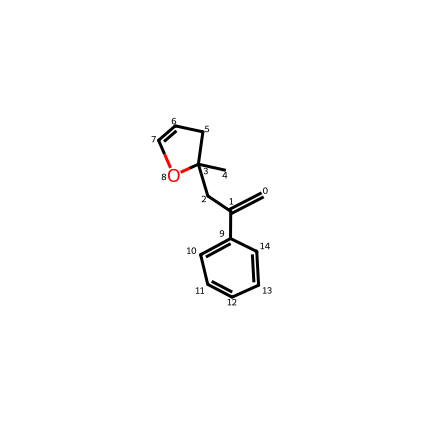 C=C(CC1(C)CC=CO1)c1ccccc1